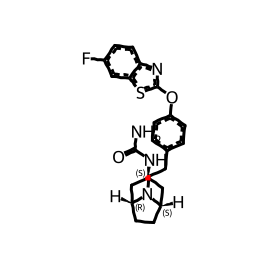 NC(=O)N[C@@H]1C[C@H]2CC[C@@H](C1)N2CCc1ccc(Oc2nc3ccc(F)cc3s2)cc1